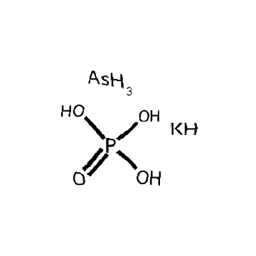 O=P(O)(O)O.[AsH3].[KH]